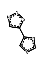 [c]1nc(-c2cnns2)cs1